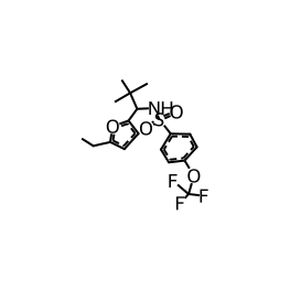 CCc1ccc(C(NS(=O)(=O)c2ccc(OC(F)(F)F)cc2)C(C)(C)C)o1